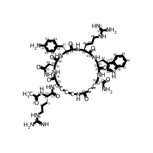 CC(=O)N[C@@H](CCCNC(=N)N)C(=O)N[C@H]1CCCNC(=O)CC[C@@H](C(N)=O)NC(=O)[C@H](Cc2c[nH]c3ccccc23)NC(=O)[C@H](CCCNC(=N)N)NC(=O)[C@@H](Cc2ccc(N)cc2)NC(=O)[C@H](CC(N)=O)NC1=O